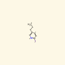 CCCc1ccc(I)nc1